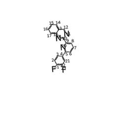 Fc1ccc(-c2cccc(-c3ncc4ccccc4n3)n2)cc1F